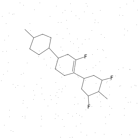 CC1CCC(C2CCC(C3CC(F)C(C)C(F)C3)=C(F)C2)CC1